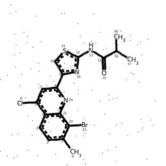 Cc1ccc2c(Cl)cc(-c3csc(NC(=O)C(C)C)n3)nc2c1Br